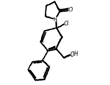 O=C1CCCN1C1(Cl)C=CC(c2ccccc2)=C(CO)C1